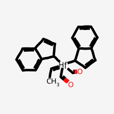 C[CH]=[Hf]([CH]=O)([CH]=O)([CH]1C=Cc2ccccc21)[CH]1C=Cc2ccccc21